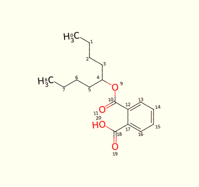 CCCCC(CCCC)OC(=O)c1ccccc1C(=O)O